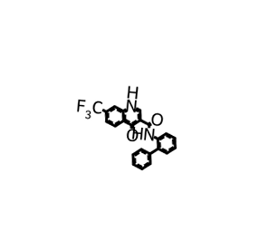 O=C(Nc1ccccc1-c1ccccc1)c1c[nH]c2cc(C(F)(F)F)ccc2c1=O